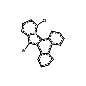 Clc1cccc2c(Br)c3c4ccccc4c4ccccc4c3n12